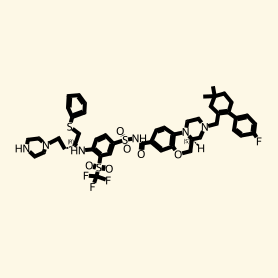 CC1(C)CCC(c2ccc(F)cc2)=C(CN2CCN3c4ccc(C(=O)NS(=O)(=O)c5ccc(N[C@H](CCN6CCNCC6)CSc6ccccc6)c(S(=O)(=O)C(F)(F)F)c5)cc4OC[C@@H]3C2)C1